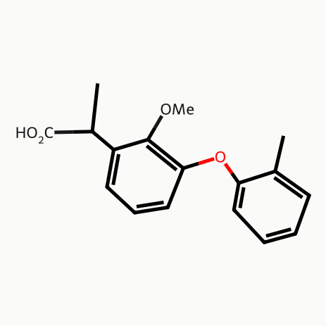 COc1c(Oc2ccccc2C)cccc1C(C)C(=O)O